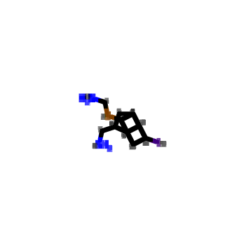 NCSC1C2CC(CN)C13CC(I)C23